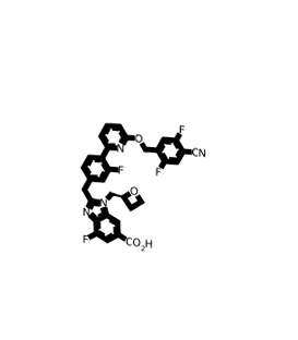 N#Cc1cc(F)c(COc2cccc(-c3ccc(Cc4nc5c(F)cc(C(=O)O)cc5n4C[C@@H]4CCO4)cc3F)n2)cc1F